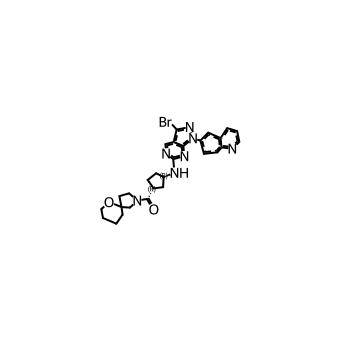 O=C([C@@H]1CC[C@@H](Nc2ncc3c(Br)nn(-c4ccc5ncccc5c4)c3n2)C1)N1CCC2(CCCCO2)C1